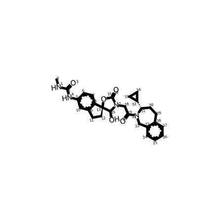 CNC(=O)Nc1ccc2c(c1)CC[C@]21OC(=O)N(CC(=O)N2Cc3ccccc3CC[C@H]2C2CC2)C1O